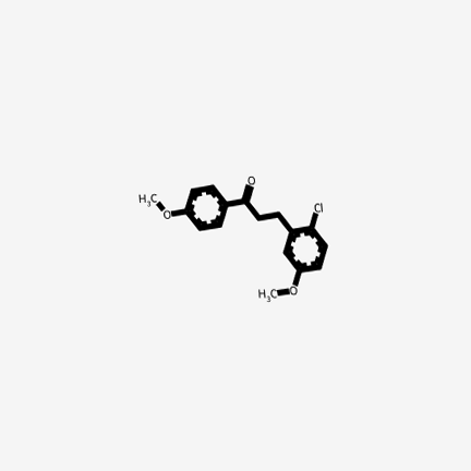 COc1ccc(C(=O)CCc2cc(OC)ccc2Cl)cc1